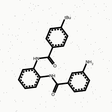 CC(C)(C)c1ccc(C(=O)Nc2ccccc2NC(=O)c2cccc(N)c2)cc1